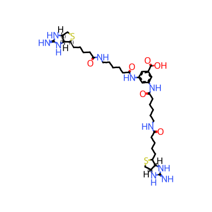 N=C1N[C@H]2[C@H](CS[C@H]2CCCCC(=O)NCCCCCC(=O)Nc2cc(NC(=O)CCCCCNC(=O)CCCCC3SC[C@@H]4NC(=N)N[C@H]34)cc(C(=O)O)c2)N1